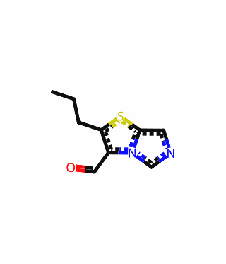 CCCc1sc2cncn2c1C=O